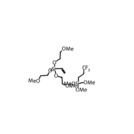 C=C[Si](OCCOC)(OCCOC)OCCOC.CO[Si](CCC(F)(F)F)(OC)OC